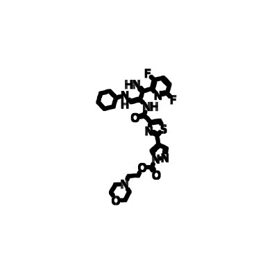 N=C(/C(=C\NC1CCCCC1)NC(=O)c1csc(-c2cnn(C(=O)OCCN3CCOCC3)c2)n1)c1nc(F)ccc1F